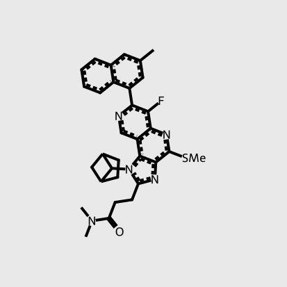 CSc1nc2c(F)c(-c3cc(C)cc4ccccc34)ncc2c2c1nc(CCC(=O)N(C)C)n2C1C2CCC1C2